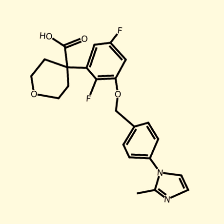 Cc1nccn1-c1ccc(COc2cc(F)cc(C3(C(=O)O)CCOCC3)c2F)cc1